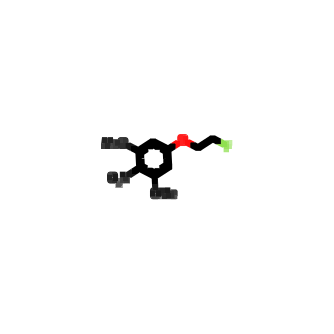 COc1cc(OCCF)cc(OC)c1[N+](=O)[O-]